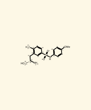 COc1ccc(NS(=O)(=O)c2ccc(C)c(C[C@H](N)C(=O)O)c2)cc1